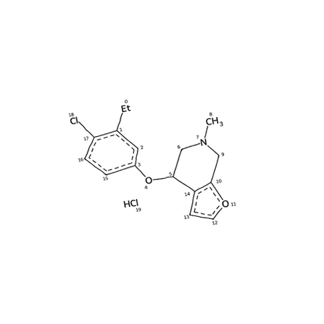 CCc1cc(OC2CN(C)Cc3occc32)ccc1Cl.Cl